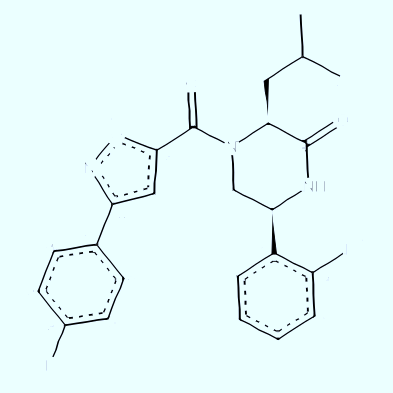 CC(C)C[C@H]1C(=O)N[C@@H](c2ccccc2F)CN1C(=O)c1cc(-c2ccc(F)cc2)no1